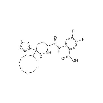 O=C(O)c1cc(F)c(F)cc1NC(=O)C1CCC(C2CCCCCCCC2)(n2ccnc2)NN1